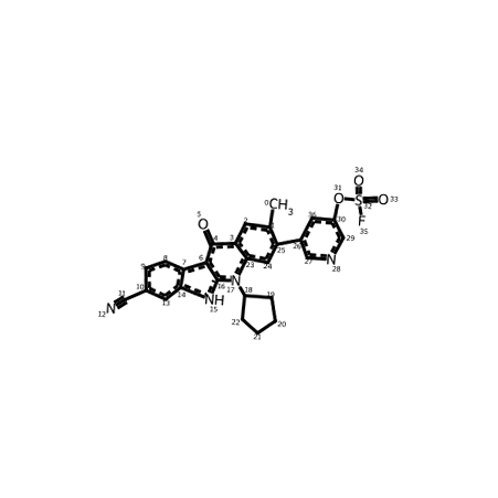 Cc1cc2c(=O)c3c4ccc(C#N)cc4[nH]c3n(C3CCCC3)c2cc1-c1cncc(OS(=O)(=O)F)c1